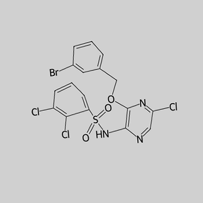 O=S(=O)(Nc1ncc(Cl)nc1OCc1cccc(Br)c1)c1cccc(Cl)c1Cl